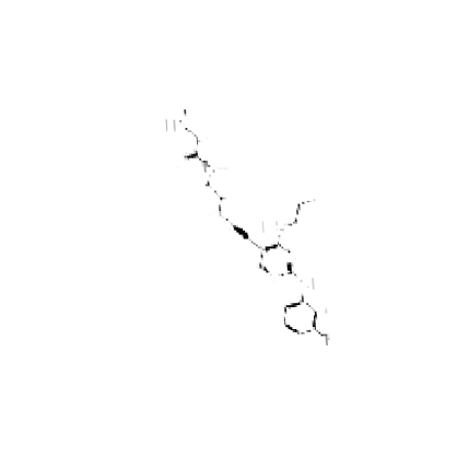 CCCNc1nc(Nc2cccc(F)c2)ncc1C#CCCCNC(=O)CNC